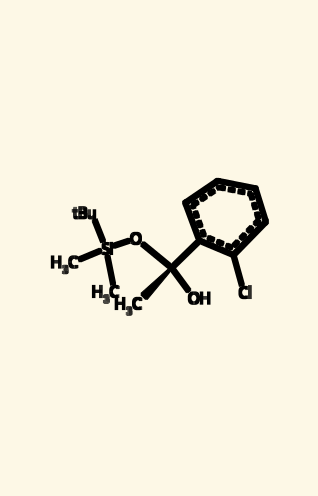 CC(C)(C)[Si](C)(C)O[C@@](C)(O)c1ccccc1Cl